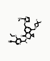 CCOc1cc([C@H](C)N2CC3(CC3)c3c(CN4CC(F)(F)C4)cc(Cn4ccnc4NC)cc3C2=O)ncc1C#N